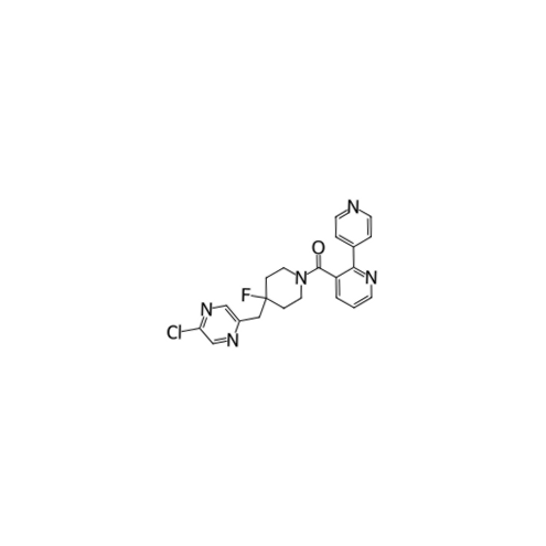 O=C(c1cccnc1-c1ccncc1)N1CCC(F)(Cc2cnc(Cl)cn2)CC1